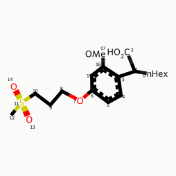 CCCCCCC(C(=O)O)c1ccc(OCCCS(C)(=O)=O)cc1OC